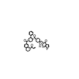 C=CC(=O)N1CCCc2ccc(C(=O)N3CC[C@@H](C(=O)N4CCC(O)(Cn5cnc6c(ccn6C)c5=O)CC4)[C@H](c4ccccc4)C3)cc21